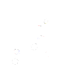 Cc1oc(-c2ccccc2)nc1CCOc1ccc(CCC(=O)O)c(CNC(=O)CCC(=O)c2cccs2)c1